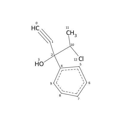 C#CC(O)(c1ccccc1)C(C)Cl